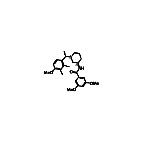 COc1cc(OC)cc(C(=O)N[C@@H]2CCCN(C(C)c3ccc(OC)c(C)c3C)C2)c1